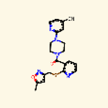 Cc1cc(CSc2ncccc2C(=O)N2CCN(c3cc(C#N)ccn3)CC2)no1